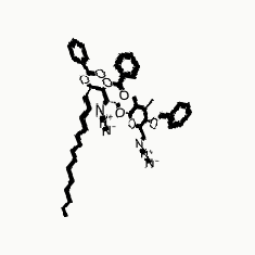 CCCCCCCCCCCCCC[C@@H](OC(=O)c1ccccc1)[C@@H](OC(=O)c1ccccc1)[C@H](CO[C@H]1OC(CN=[N+]=[N-])[C@H](OCc2ccccc2)[C@H](C)C1C)N=[N+]=[N-]